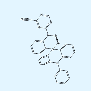 N#Cc1ncnc(N2c3ccccc3[Si]3(c4ccccc4N(c4ccccc4)c4ccccc43)c3ccccc32)n1